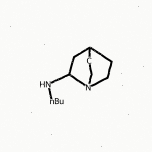 CCCCNC1CC2CCN1CC2